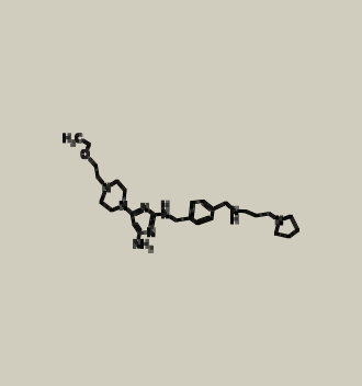 CCOCCN1CCN(c2cc(N)nc(NCc3ccc(CNCCCN4CCCC4)cc3)n2)CC1